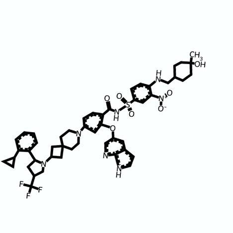 CC1(O)CCC(CNc2ccc(S(=O)(=O)NC(=O)c3ccc(N4CCC5(CC4)CC(N4CC(C(F)(F)F)CC4c4ccccc4C4CC4)C5)cc3Oc3cnc4[nH]ccc4c3)cc2[N+](=O)[O-])CC1